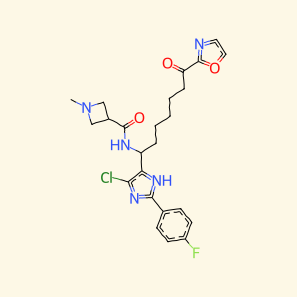 CN1CC(C(=O)NC(CCCCCC(=O)c2ncco2)c2[nH]c(-c3ccc(F)cc3)nc2Cl)C1